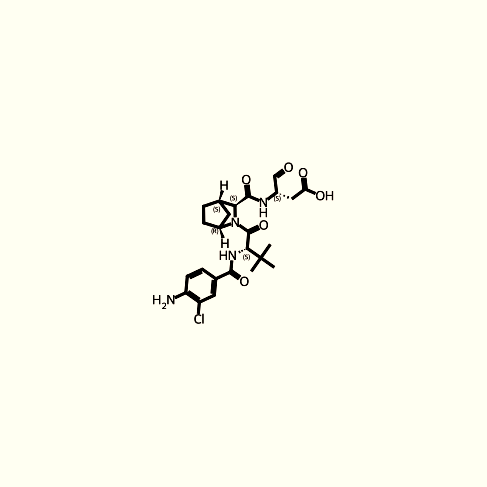 CC(C)(C)[C@H](NC(=O)c1ccc(N)c(Cl)c1)C(=O)N1[C@@H]2CC[C@@H](C2)[C@H]1C(=O)N[C@H](C=O)CC(=O)O